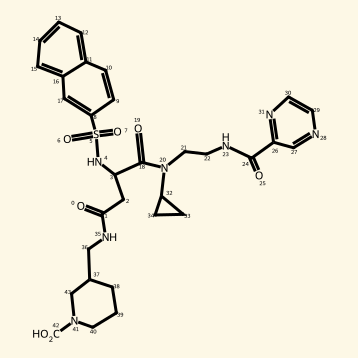 O=C(CC(NS(=O)(=O)c1ccc2ccccc2c1)C(=O)N(CCNC(=O)c1cnccn1)C1CC1)NCC1CCCN(C(=O)O)C1